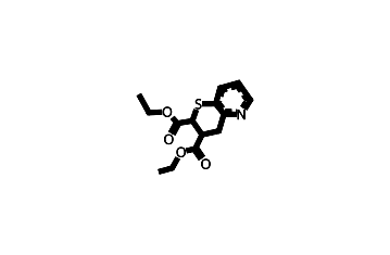 CCOC(=O)C1Cc2ncccc2SC1C(=O)OCC